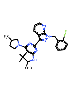 CC1(C)c2c(nc(-c3nn(Cc4ccccc4F)c4ncccc34)nc2N2CCC(C(F)(F)F)C2)NC1C=O